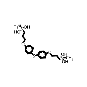 C[Si](O)(O)CCCOc1ccc(Sc2ccc(OCCC[Si](C)(O)O)cc2)cc1